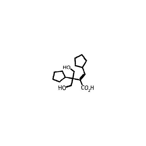 O=C(O)C(=CC1CCCC1)C(CO)(CO)C1CCCC1